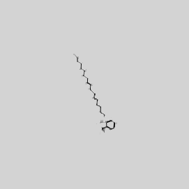 CCCCCCCCC=CCCCCCCCCOc1ccccc1C(=O)O